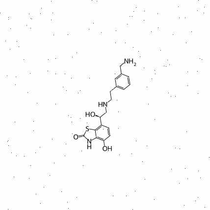 NCc1cccc(CCNC[C@H](O)c2ccc(O)c3[nH]c(=O)sc23)c1